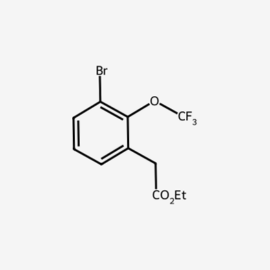 CCOC(=O)Cc1cccc(Br)c1OC(F)(F)F